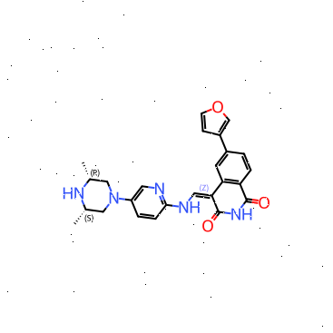 C[C@@H]1CN(c2ccc(N/C=C3\C(=O)NC(=O)c4ccc(-c5ccoc5)cc43)nc2)C[C@H](C)N1